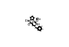 CCN(C(=O)C=C[C@H](Cc1ccccc1)NC(=O)OC(C)(C)C)N1CCCC1